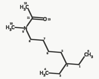 CCC(CC)CCCCN(C)C(C)=O